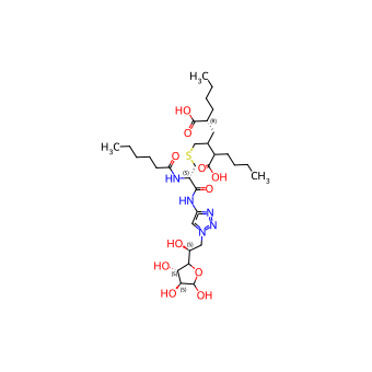 CCCCCC(=O)N[C@H](CSCC(C[C@@H](CCCC)C(=O)O)C(CCCC)C(=O)O)C(=O)Nc1cn(C[C@H](O)C2OC(O)[C@@H](O)[C@@H]2O)nn1